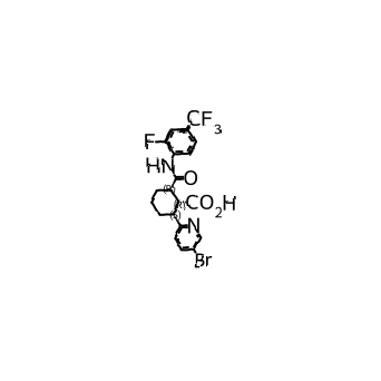 O=C(O)[C@@H]1[C@@H](c2ccc(Br)cn2)CCC[C@H]1C(=O)Nc1ccc(C(F)(F)F)cc1F